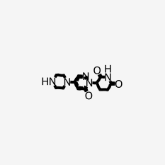 O=C1CCC(n2ncc(N3CCNCC3)cc2=O)C(=O)N1